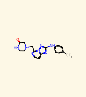 O=C1CN(Cc2nccc3nc(Nc4ccc(C(F)(F)F)cc4)nn23)CCN1